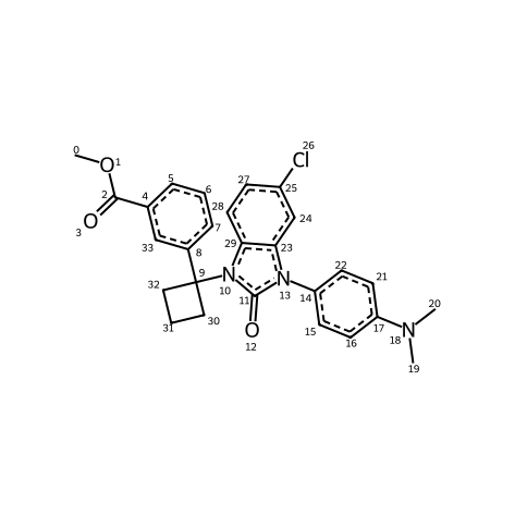 COC(=O)c1cccc(C2(n3c(=O)n(-c4ccc(N(C)C)cc4)c4cc(Cl)ccc43)CCC2)c1